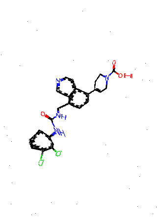 O=C(NCc1ccc(C2=CCN(C(=O)O)CC2)c2ccncc12)Nc1cccc(Cl)c1Cl